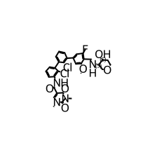 COc1cc(-c2cccc(-c3cccc(NC(=O)c4cn(C)c(=O)n(C)c4=O)c3Cl)c2Cl)cc(F)c1CN[C@H]1COCC[C@@H]1O